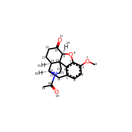 COc1ccc2c3c1O[C@@H]1C(=O)CC[C@@H]4[C@H](C2)N(C(C)=O)CCC314